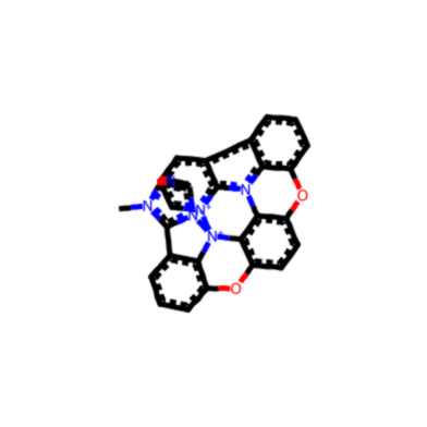 Cn1c2[n+](c3cccnc31)[N+]13c4c(cccc4-2)Oc2ccc4c(c21)-n1c2c(cccc2c2ccc[n+]3c21)O4